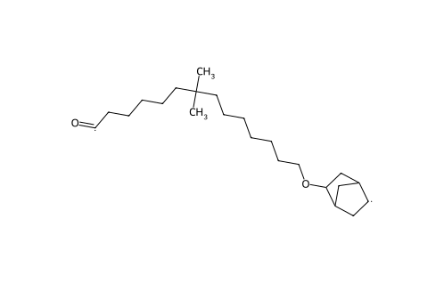 CC(C)(CCCCC[C]=O)CCCCCCCOC1CC2[CH]CC1C2